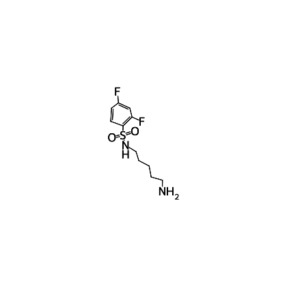 NCCCCCNS(=O)(=O)c1ccc(F)cc1F